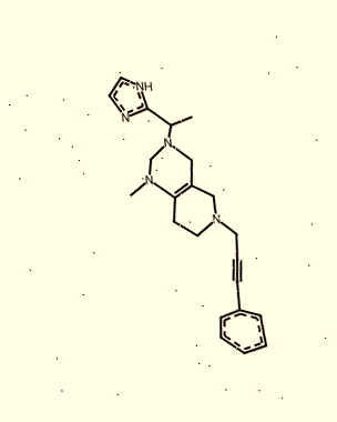 CC(c1ncc[nH]1)N1CC2=C(CCN(CC#Cc3ccccc3)C2)N(C)C1